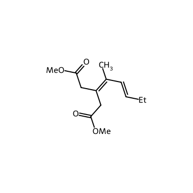 CC/C=C/C(C)=C(CC(=O)OC)CC(=O)OC